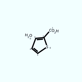 O.O=C(O)c1cccs1